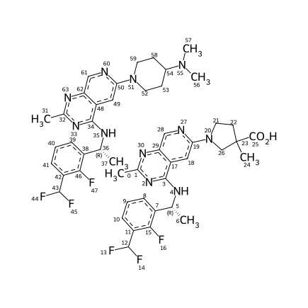 Cc1nc(N[C@H](C)c2cccc(C(F)F)c2F)c2cc(N3CCC(C)(C(=O)O)C3)ncc2n1.Cc1nc(N[C@H](C)c2cccc(C(F)F)c2F)c2cc(N3CCC(N(C)C)CC3)ncc2n1